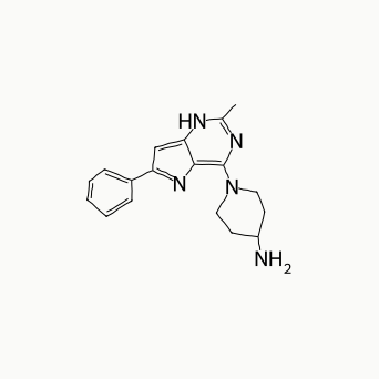 Cc1nc(N2CCC(N)CC2)c2nc(-c3ccccc3)cc-2[nH]1